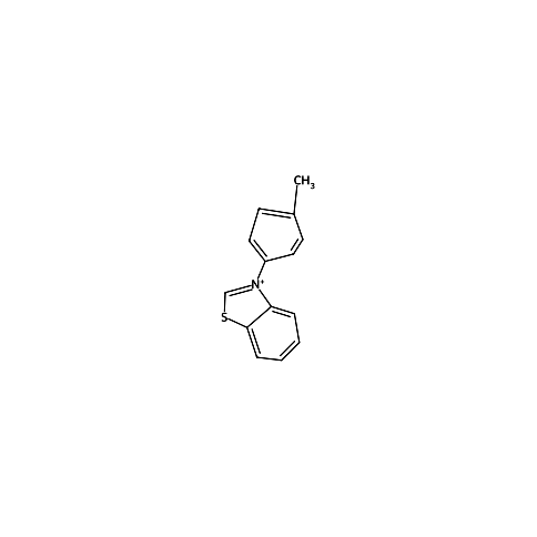 Cc1ccc(-[n+]2csc3ccccc32)cc1